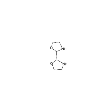 C1CO[C](C2NCCO2)N1